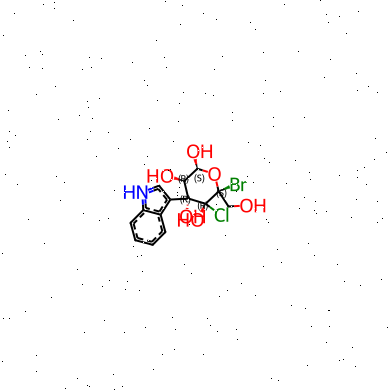 OC[C@@]1(Br)O[C@H](O)[C@H](O)[C@](O)(c2c[nH]c3ccccc23)[C@@]1(O)Cl